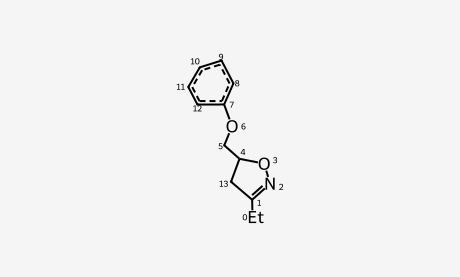 [CH2]CC1=NOC(COc2ccccc2)C1